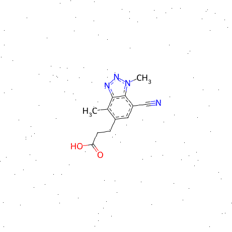 Cc1c(CCC(=O)O)cc(C#N)c2c1nnn2C